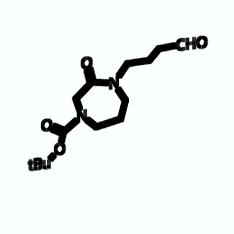 CC(C)(C)OC(=O)N1CCCN(CCCC=O)C(=O)C1